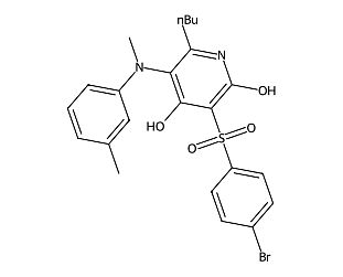 CCCCc1nc(O)c(S(=O)(=O)c2ccc(Br)cc2)c(O)c1N(C)c1cccc(C)c1